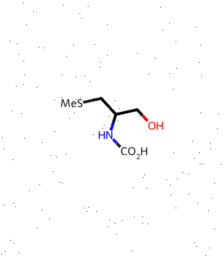 CSCC(CO)NC(=O)O